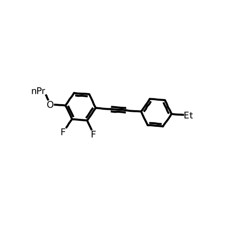 CCCOc1ccc(C#Cc2ccc(CC)cc2)c(F)c1F